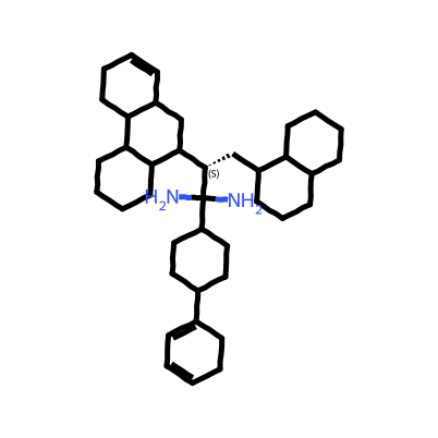 NC(N)(C1CCC(C2=CC=CCC2)CC1)[C@@H](CC1CCCC2CCCCC21)C1CC2C=CCCC2C2CCCCC21